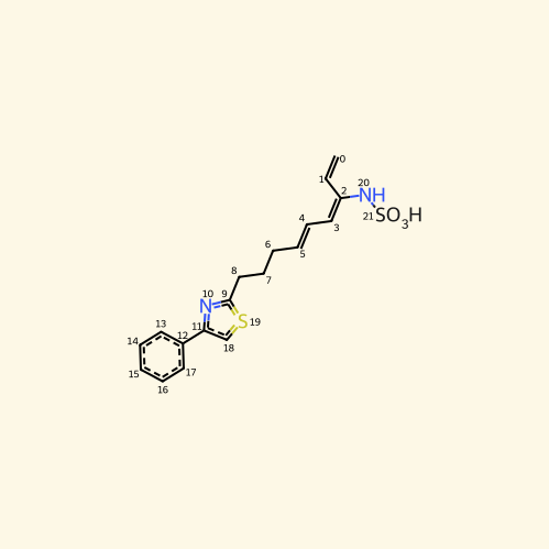 C=C/C(=C\C=C\CCCc1nc(-c2ccccc2)cs1)NS(=O)(=O)O